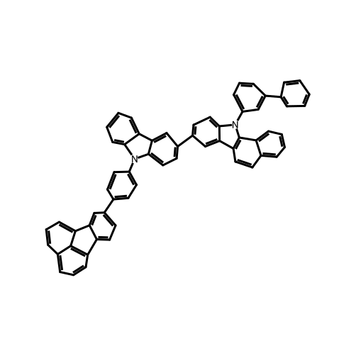 c1ccc(-c2cccc(-n3c4ccc(-c5ccc6c(c5)c5ccccc5n6-c5ccc(-c6ccc7c(c6)-c6cccc8cccc-7c68)cc5)cc4c4ccc5ccccc5c43)c2)cc1